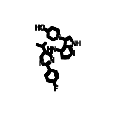 CC(C)c1cnc(-c2ccc(F)cc2)nc1Nc1ccnc2[nH]cc(N3CCC(O)CC3)c12